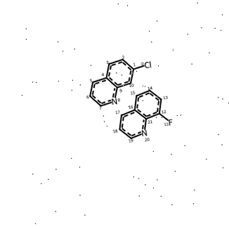 Clc1ccc2cccnc2c1.Fc1cccc2cccnc12